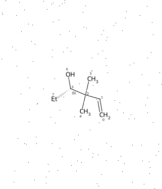 C=CC(C)(C)[C@@H](O)CC